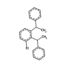 CCc1cccc(C(C)c2ccccc2)c1C(C)c1ccccc1